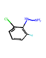 NNc1c(F)cccc1Cl